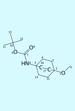 COC12CCC(NC(=O)OC(C)(C)C)(CC1)CC2